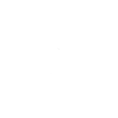 CC1(C)C=Cc2ccc(NC(F)C(F)F)cc2O1